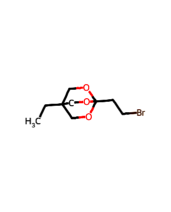 CCC12COC(CCBr)(OC1)OC2